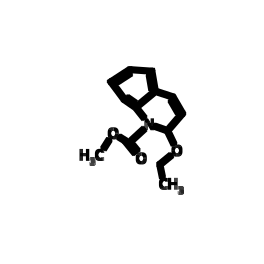 CCOC1C=Cc2ccccc2N1C(=O)OC